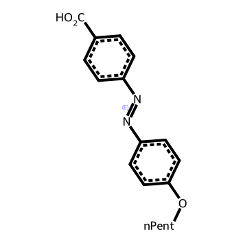 CCCCCOc1ccc(/N=N/c2ccc(C(=O)O)cc2)cc1